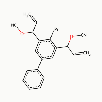 C=CC(OC#N)c1cc(-c2ccccc2)cc(C(C=C)OC#N)c1C(C)C